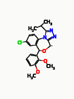 COc1cccc(C2O[CH]c3nnc(C(C)C)n3-c3ccc(Cl)cc32)c1OC